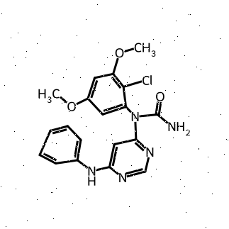 COc1cc(OC)c(Cl)c(N(C(N)=O)c2cc(Nc3ccccc3)ncn2)c1